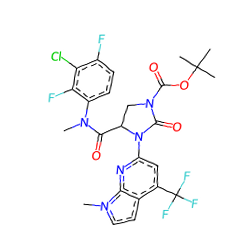 CN(C(=O)C1CN(C(=O)OC(C)(C)C)C(=O)N1c1cc(C(F)(F)F)c2ccn(C)c2n1)c1ccc(F)c(Cl)c1F